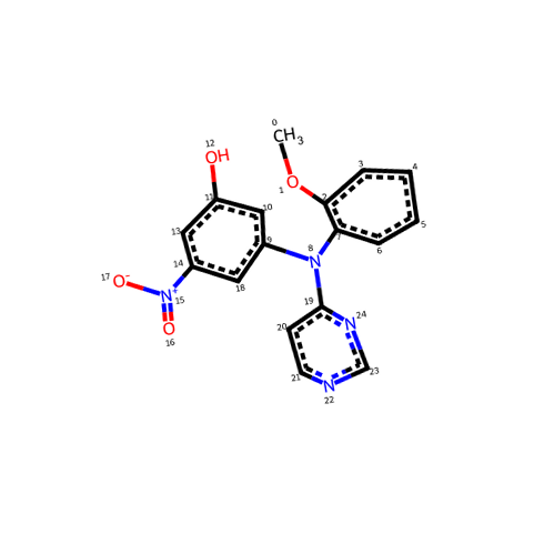 COc1ccccc1N(c1cc(O)cc([N+](=O)[O-])c1)c1ccncn1